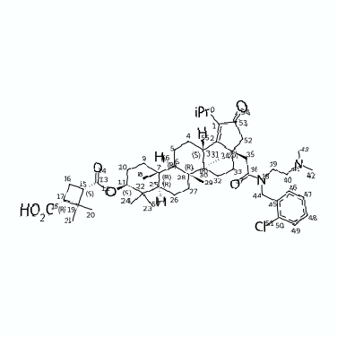 CC(C)C1=C2[C@H]3CC[C@@H]4[C@@]5(C)CC[C@H](OC(=O)[C@H]6C[C@@H](C(=O)O)C6(C)C)C(C)(C)[C@@H]5CC[C@@]4(C)[C@]3(C)CC[C@@]2(CC(=O)N(CCN(C)C)Cc2ccccc2Cl)CC1=O